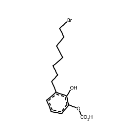 O=C(O)Oc1cccc(CCCCCCCBr)c1O